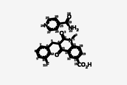 CN1C(=O)C(Cc2cccc(F)c2)C(=O)c2cc(C(=O)O)ccc21.NC(=O)c1ccncc1